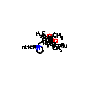 CCCCCC[N+]1(CCC[Si](C)(C)O[Si](C)(C)O[Si](C)(C)CCCC)CCCC1